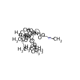 C=C/C=C/CCOC(=O)[C@@H]1CCCN(C(=O)[C@H](Cc2cccc(O[Si](C)(C)C(C)(C)C)c2)NC(=O)[C@@H](NC(=O)[C@H](C)[C@@H](CCC=C)OC)C(C)C)N1